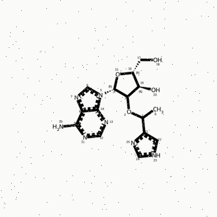 CC(OC1[C@H](n2cnc3c(N)ncnc32)O[C@H](CO)[C@H]1O)c1c[nH]cn1